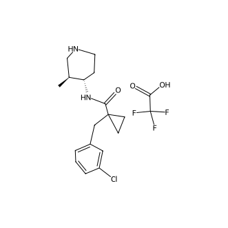 C[C@H]1CNCC[C@@H]1NC(=O)C1(Cc2cccc(Cl)c2)CC1.O=C(O)C(F)(F)F